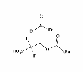 CC(C)(C)C(=O)OCC(F)(F)S(=O)(=O)O.CCN(CC)CC